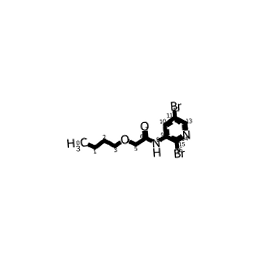 CCCCOCC(=O)Nc1cc(Br)cnc1Br